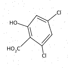 O=C(O)c1c(O)cc(Cl)cc1Cl